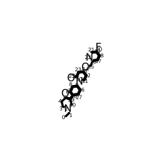 CCN1CCc2oc3cc(-n4ccc(OCc5ccc(F)cn5)cc4=O)ccc3c2C1